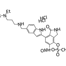 CCN(CC)CCCNCc1ccc2[nH]c(-c3cc(OC)c(OS(C)(=O)=O)c4c3C(=O)NC4)cc2c1.Cl.Cl